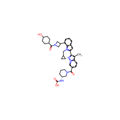 Cc1c(-c2cc3cccc(C4CN(C(=O)C5CCC(O)CC5)C4)c3n2CC2CC2)nn2cc(C(=O)N3CCC[C@@H](NC(=O)O)C3)ccc12